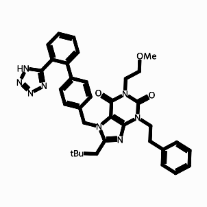 COCCn1c(=O)c2c(nc(CC(C)(C)C)n2Cc2ccc(-c3ccccc3-c3nnn[nH]3)cc2)n(CCc2ccccc2)c1=O